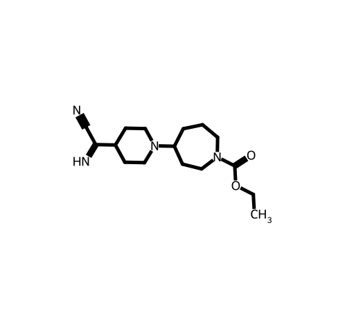 CCOC(=O)N1CCCC(N2CCC(C(=N)C#N)CC2)CC1